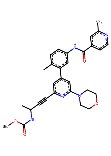 Cc1ccc(NC(=O)c2ccnc(C(F)(F)F)c2)cc1-c1cc(C#CC(C)NC(=O)OC(C)(C)C)nc(N2CCOCC2)c1